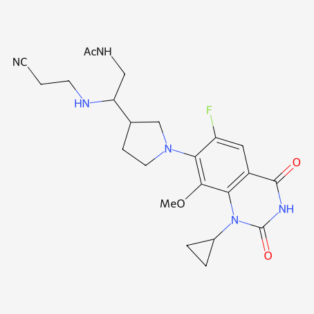 COc1c(N2CCC(C(CNC(C)=O)NCCC#N)C2)c(F)cc2c(=O)[nH]c(=O)n(C3CC3)c12